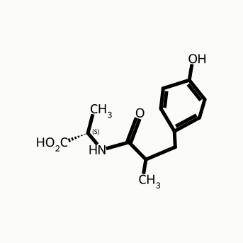 CC(Cc1ccc(O)cc1)C(=O)N[C@@H](C)C(=O)O